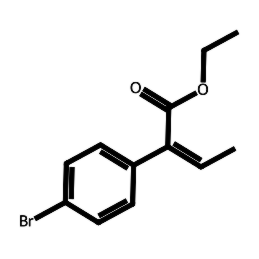 CC=C(C(=O)OCC)c1ccc(Br)cc1